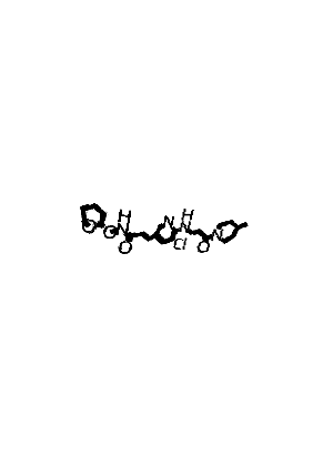 CC1CCN(C(=O)CCNc2ncc(/C=C/C(=O)NOC3CCCCO3)cc2Cl)CC1